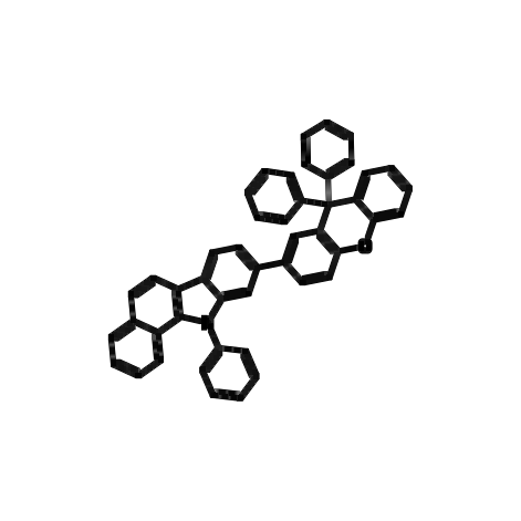 c1ccc(-n2c3cc(-c4ccc5c(c4)C(c4ccccc4)(c4ccccc4)c4ccccc4O5)ccc3c3ccc4ccccc4c32)cc1